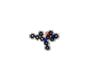 c1ccc(-c2ccc(-c3ccc(N(c4ccc(-c5ccccc5)cc4)c4ccc5c(c4)oc4cccc(-n6c7ccccc7c7ccccc76)c45)cc3-c3ccccc3)cc2)cc1